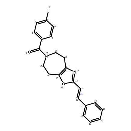 O=C(c1ccc(F)cc1)N1CCc2nc(/C=C/c3ccccc3)oc2CC1